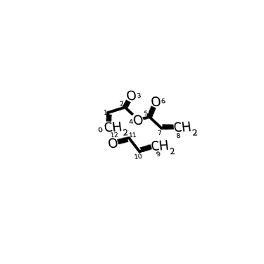 C=CC(=O)OC(=O)C=C.C=CC=O